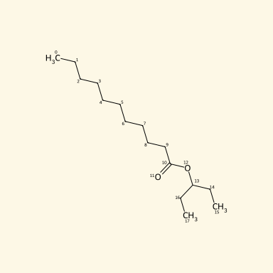 CCCCCCCCCCC(=O)OC(CC)CC